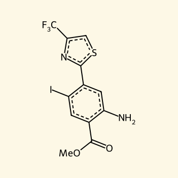 COC(=O)c1cc(I)c(-c2nc(C(F)(F)F)cs2)cc1N